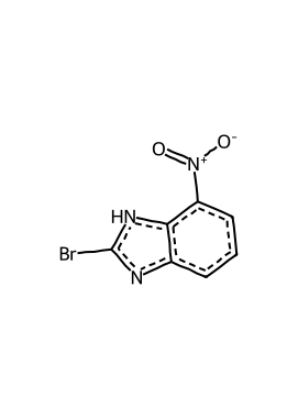 O=[N+]([O-])c1cccc2nc(Br)[nH]c12